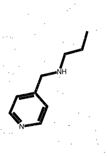 CCCNCc1ccncc1